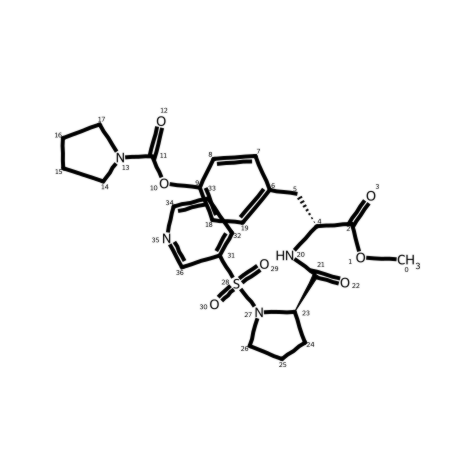 COC(=O)[C@@H](Cc1ccc(OC(=O)N2CCCC2)cc1)NC(=O)[C@H]1CCCN1S(=O)(=O)c1cccnc1